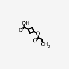 C=CC(=O)OC1CC(C(=O)O)C1